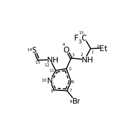 CCC(NC(=O)c1cc(Br)cnc1NC=S)C(F)(F)F